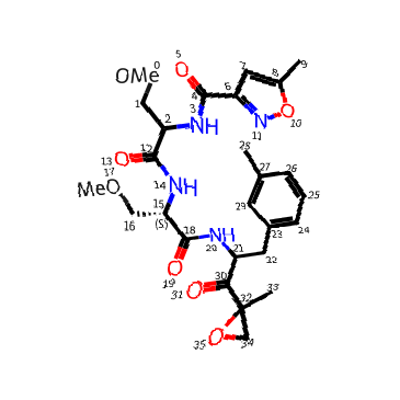 COCC(NC(=O)c1cc(C)on1)C(=O)N[C@@H](COC)C(=O)NC(Cc1cccc(C)c1)C(=O)C1(C)CO1